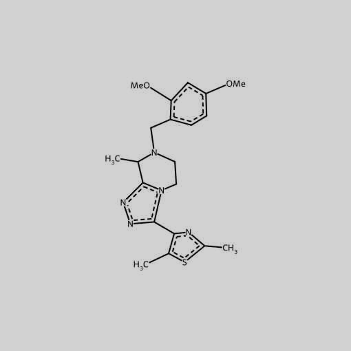 COc1ccc(CN2CCn3c(-c4nc(C)sc4C)nnc3C2C)c(OC)c1